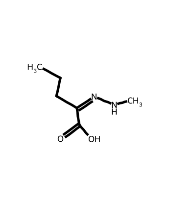 CCCC(=NNC)C(=O)O